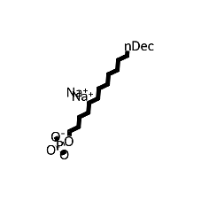 CCCCCCCCCCCCCCCCCCCCCCOP(=O)([O-])[O-].[Na+].[Na+]